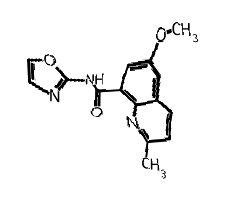 COc1cc(C(=O)Nc2ncco2)c2nc(C)ccc2c1